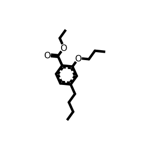 CCCCc1ccc(C(=O)OCC)c(OCCC)c1